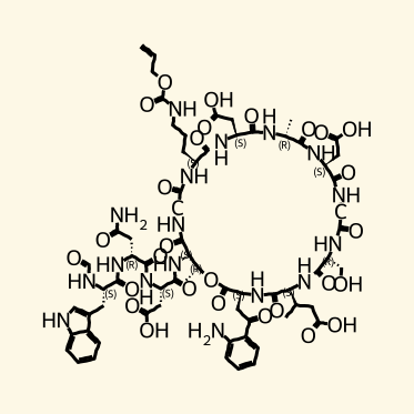 C=CCOC(=O)NCCC[C@@H]1NC(=O)CNC(=O)[C@@H](NC(=O)[C@H](CC(=O)O)NC(=O)[C@@H](CC(N)=O)NC(=O)[C@H](Cc2c[nH]c3ccccc23)NC=O)[C@@H](C)OC(=O)[C@H](CC(=O)c2ccccc2N)NC(=O)[C@H](C(C)CC(=O)O)NC(=O)[C@@H](CO)NC(=O)CNC(=O)[C@H](CC(=O)O)NC(=O)[C@@H](C)NC(=O)[C@H](CC(=O)O)NC1=O